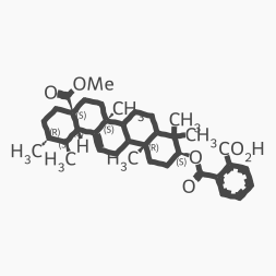 COC(=O)[C@]12CC[C@@H](C)[C@H](C)[C@H]1C1=CCC3C(CCC4C(C)(C)[C@@H](OC(=O)c5ccccc5C(=O)O)CC[C@]34C)[C@]1(C)CC2